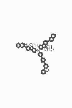 CC1(C)c2cc(-c3ccc4ccccc4c3)ccc2-c2ccc(N(c3ccc(-c4ccc(C5=CC6c7ccccc7OC6C=C5)cc4)cc3)c3ccc4c(c3)C(C)(C)c3cc(-c5ccc6ccccc6c5)ccc3-4)cc21